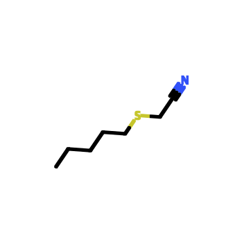 CCCCCSCC#N